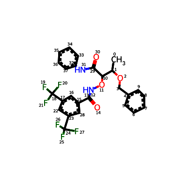 CC(OCc1ccccc1)C(ONC(=O)c1cc(C(F)(F)F)cc(C(F)(F)F)c1)C(=O)Nc1ccccc1